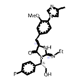 CC/N=C1\N/C(=C\c2ccc(-n3cnc(C)c3)c(OC)c2)C(=O)N1[C@H](CO)c1ccc(F)cc1